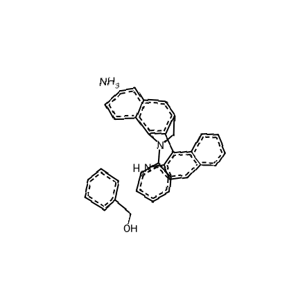 N.Nc1ccc2ccccc2c1-c1c2cc3ccccc3c1N(c1ccccc1)C2.OCc1ccccc1